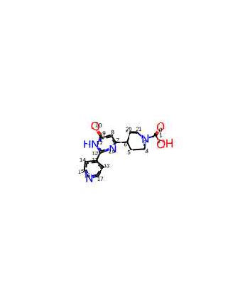 O=C(O)N1CCC(c2cc(=O)[nH]c(-c3ccncc3)n2)CC1